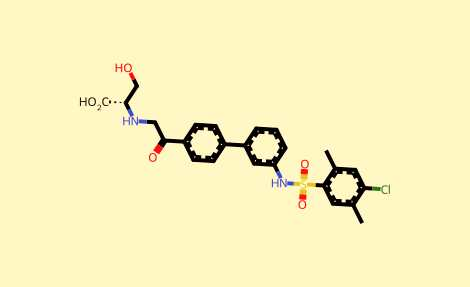 Cc1cc(S(=O)(=O)Nc2cccc(-c3ccc(C(=O)CN[C@@H](CO)C(=O)O)cc3)c2)c(C)cc1Cl